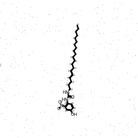 CCCCCCCCCCCCCCCCCCCCNC(=O)Nc1ccc(O)cc1[N+](=O)[O-]